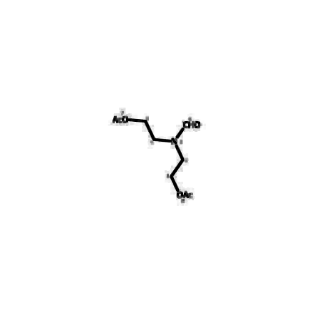 CC(=O)OCCN([C]=O)CCOC(C)=O